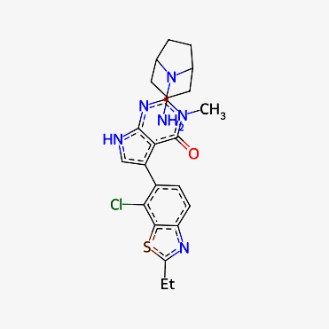 CCc1nc2ccc(-c3c[nH]c4nc(N5C6CCC5CC(N)C6)n(C)c(=O)c34)c(Cl)c2s1